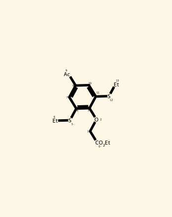 CCOC(=O)COc1c(SCC)cc(C(C)=O)cc1SCC